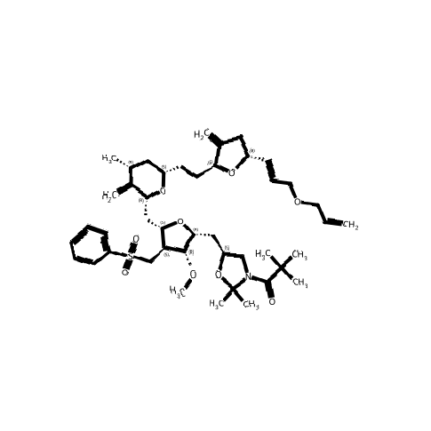 C=CCOCC=C[C@H]1CC(=C)[C@H](CC[C@H]2C[C@@H](C)C(=C)[C@@H](C[C@@H]3O[C@H](C[C@H]4CN(C(=O)C(C)(C)C)C(C)(C)O4)[C@H](OC)[C@H]3CS(=O)(=O)c3ccccc3)O2)O1